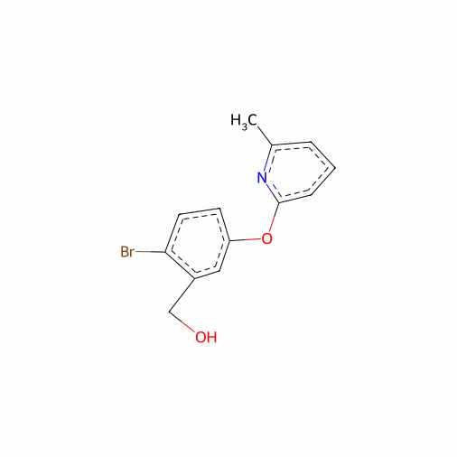 Cc1cccc(Oc2ccc(Br)c(CO)c2)n1